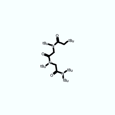 CC(C)(C)CC(=O)N(CC(=O)N(CC(=O)N(C(C)(C)C)C(C)(C)C)C(C)(C)C)C(C)(C)C